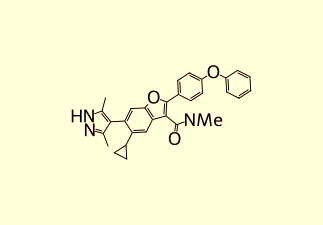 CNC(=O)c1c(-c2ccc(Oc3ccccc3)cc2)oc2cc(-c3c(C)n[nH]c3C)c(C3CC3)cc12